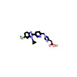 O=C(O)Cc1cn(Cc2ccc(-c3nc4ccc(Br)cc4n3C3CC3)cn2)cn1